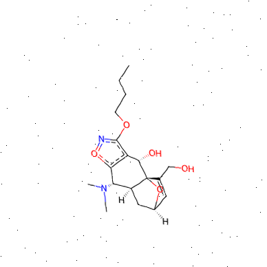 CCCCOc1noc2c1[C@H](O)[C@@]13O[C@@H](C=C1CO)C[C@H]3[C@@H]2N(C)C